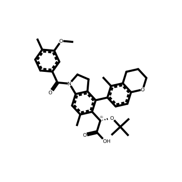 COc1cc(C(=O)N2CCc3c2cc(C)c([C@H](OC(C)(C)C)C(=O)O)c3-c2ccc3c(c2C)CCCO3)ccc1C